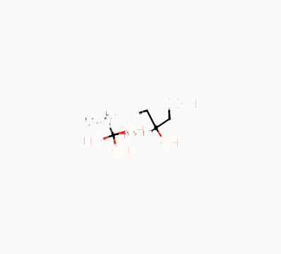 CNC(O)(O)O.O=C(O)CC(O)(CC(=O)O)C(=O)O